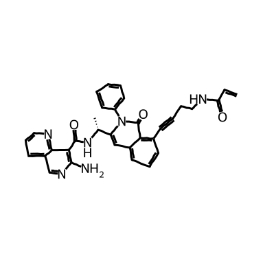 C=CC(=O)NCCC#Cc1cccc2cc([C@@H](C)NC(=O)c3c(N)ncc4cccnc34)n(-c3ccccc3)c(=O)c12